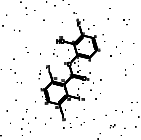 O=C(Oc1cccc(F)c1O)c1c(I)ccc(I)c1I